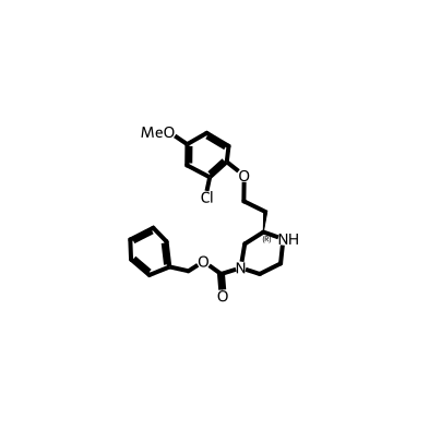 COc1ccc(OCC[C@@H]2CN(C(=O)OCc3ccccc3)CCN2)c(Cl)c1